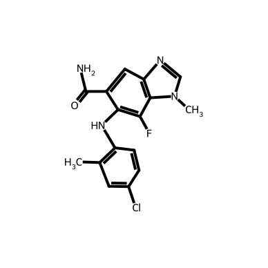 Cc1cc(Cl)ccc1Nc1c(C(N)=O)cc2ncn(C)c2c1F